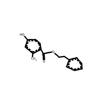 Cc1cc(O)ccc1C(=O)OCCc1ccccc1